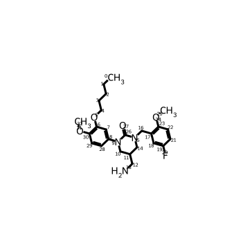 CCCCCOc1cc(N2CC(CN)CN(Cc3cc(F)ccc3OC)C2=O)ccc1OC